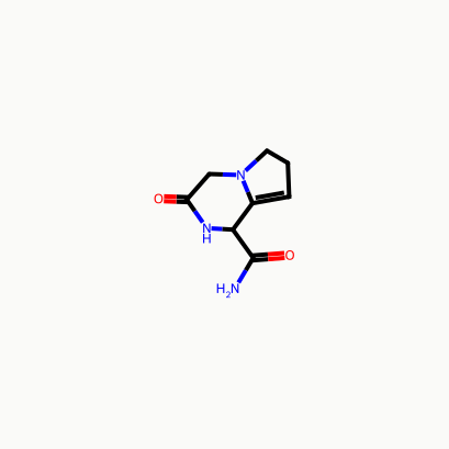 NC(=O)C1NC(=O)CN2CCC=C12